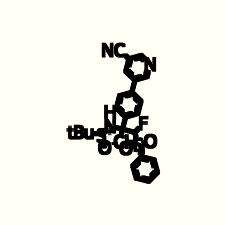 CC(N[S+]([O-])C(C)(C)C)(c1ccc(-c2cncc(C#N)c2)cc1)C(F)S(=O)(=O)c1ccccc1